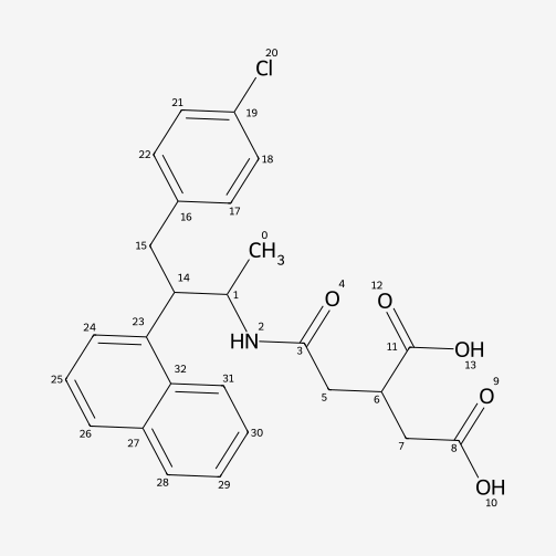 CC(NC(=O)CC(CC(=O)O)C(=O)O)C(Cc1ccc(Cl)cc1)c1cccc2ccccc12